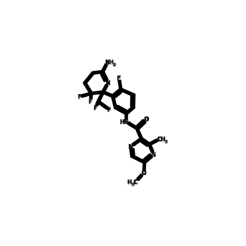 COc1cnc(C(=O)Nc2ccc(F)c(C3(C(F)F)N=C(N)CCC3(F)F)c2)c(C)n1